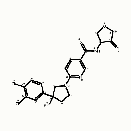 O=C1NOCC1NC(=S)c1ccc(N2CCC(c3ccc(Cl)c(Cl)c3)(C(F)(F)F)C2)nc1